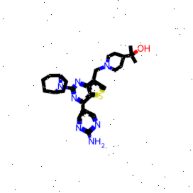 CC(C)(O)C1CCN(Cc2csc3c(-c4cnc(N)nc4)nc(N4C5CCCC4CC5)nc23)CC1